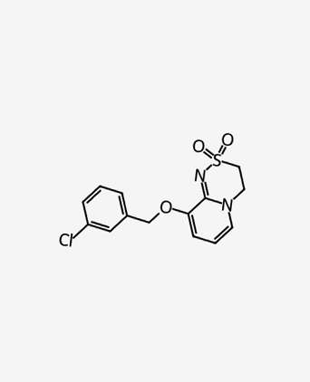 O=S1(=O)CCN2C=CC=C(OCc3cccc(Cl)c3)C2=N1